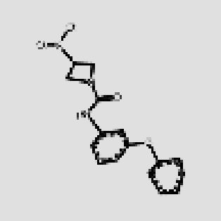 CCN(CC)C1CN(C(=O)Nc2cccc(Oc3ccccc3)c2)C1